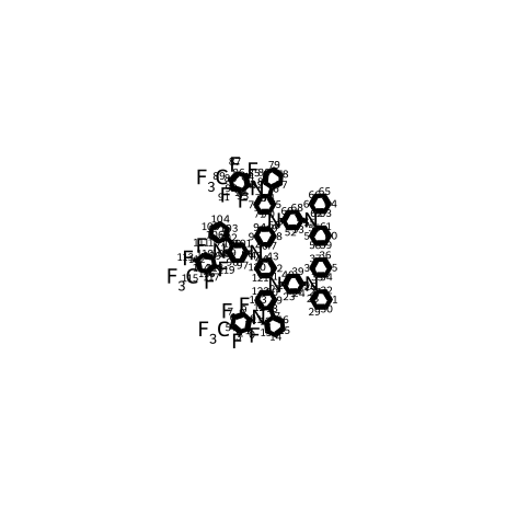 Fc1c(F)c(C(F)(F)F)c(F)c(F)c1-n1c2ccccc2c2cc(N(c3ccc(N(c4ccccc4)c4ccccc4)cc3)c3ccc(N(c4ccc(N(c5ccc(N(c6ccccc6)c6ccccc6)cc5)c5ccc6c(c5)c5ccccc5n6-c5c(F)c(F)c(C(F)(F)F)c(F)c5F)cc4)c4ccc5c(c4)c4ccccc4n5-c4c(F)c(F)c(C(F)(F)F)c(F)c4F)cc3)ccc21